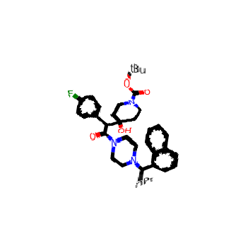 CCCC(c1cccc2ccccc12)N1CCN(C(=O)C(c2ccc(F)cc2)C2(O)CCN(C(=O)OC(C)(C)C)CC2)CC1